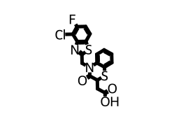 O=C(O)CC1Sc2ccccc2N(Cc2nc3c(Cl)c(F)ccc3s2)C1=O